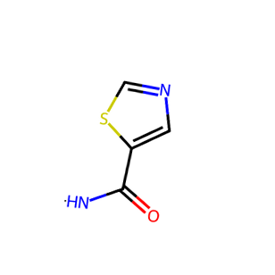 [NH]C(=O)c1cncs1